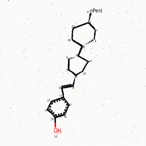 CCCCC[C@H]1CC[C@H]([C@H]2CC[C@H](C=Cc3ccc(O)cc3)CC2)CC1